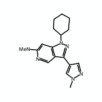 CNc1cc2c(cn1)c(-c1cnn(C)c1)nn2C1CCCCC1